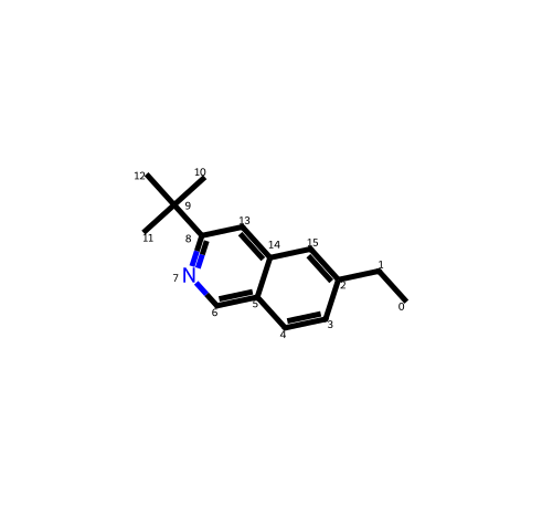 CCc1ccc2cnc(C(C)(C)C)cc2c1